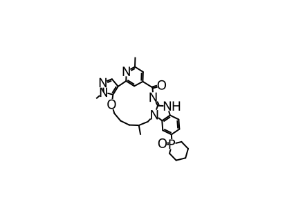 Cc1cc2cc(n1)-c1cnn(C)c1OCCCC(C)CN1/C(=N/C2=O)Nc2ccc(P3(=O)CCCCC3)cc21